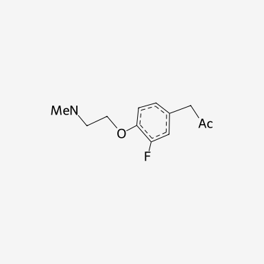 CNCCOc1ccc(CC(C)=O)cc1F